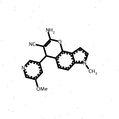 COc1cncc(C2C(C#N)=C(N)Oc3c2ccc2c3ccn2C)c1